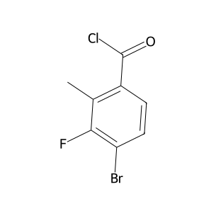 Cc1c(C(=O)Cl)ccc(Br)c1F